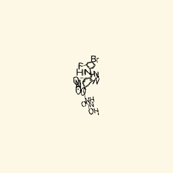 CN(C)C(CO)C(=O)NCCOc1cc2ncnc(Nc3ccc(Br)cc3F)c2cc1[N+](=O)[O-]